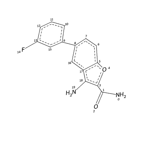 NC(=O)c1oc2ccc(-c3cccc(F)c3)cc2c1N